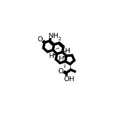 CC(C(=O)O)[C@H]1CC[C@H]2[C@@H]3C=CC4=C(N)C(=O)CC[C@]4(C)[C@H]3CC[C@]12C